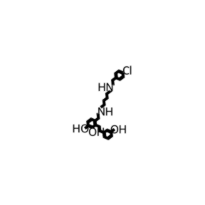 Oc1cccc(CCc2c(CCNCCCCCCNCCc3ccc(Cl)cc3)ccc(O)c2O)c1